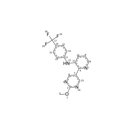 COc1ncc(-c2ncccc2Nc2ccc(C(F)(F)F)cc2)cn1